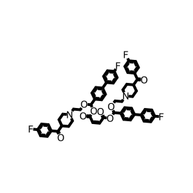 O=C(/C=C\C(=O)OC(OCCN1CCC(C(=O)c2ccc(F)cc2)CC1)c1ccc(-c2ccc(F)cc2)cc1)OC(OCCN1CCC(C(=O)c2ccc(F)cc2)CC1)c1ccc(-c2ccc(F)cc2)cc1